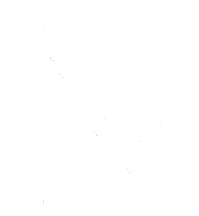 Cc1cc2c(cc1-c1nnc(C(C)(C)C)o1)N(Cc1ccc(Cl)cc1)C[C@@H](N)CS2(=O)=O